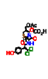 CC(=O)OCC1=C(OC(=O)O)N2C(=O)C(NC(=O)C(=C(Cl)Cl)c3ccc(O)cc3)[C@@H]2SC1